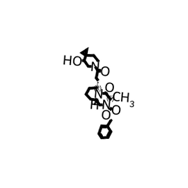 C[C@H]1C(=O)N2[C@@H](CCC(=O)N3CCC4(CC4)C(O)C3)CCC[C@H]2CN1C(=O)OCc1ccccc1